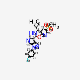 CCC[C@H](NC(=O)c1cncc2c1cnn2-c1ccc(F)cc1)c1cncc(S(C)(=O)=O)c1